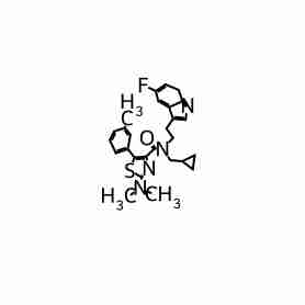 Cc1cccc(-c2sc(N(C)C)nc2C(=O)N(CCC2=CN=C3CC=C(F)C=C23)CC2CC2)c1